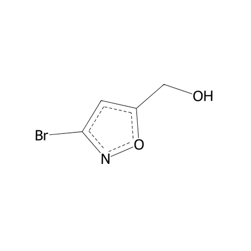 OCc1cc(Br)no1